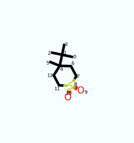 CC(C)(C)C1(C)CCS(=O)(=O)CC1